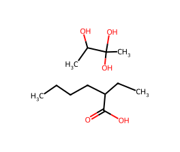 CC(O)C(C)(O)O.CCCCC(CC)C(=O)O